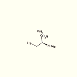 CC(=O)N[C@@H](CS)C(=O)O.[BiH3]